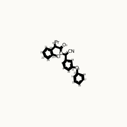 CC(C)C(C(=O)OC(C#N)c1cccc(Oc2ccccc2)c1)c1ccccc1Cl